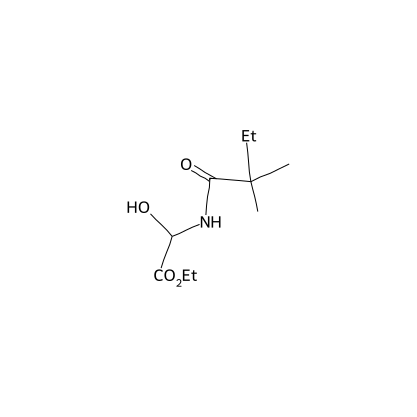 CCOC(=O)C(O)NC(=O)C(C)(C)CC